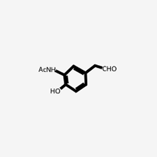 CC(=O)Nc1cc(CC=O)ccc1O